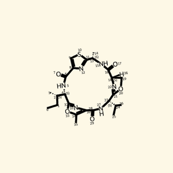 CC[C@H](C)[C@@H]1NC(=O)c2csc(n2)[C@H](C)NC(=O)[C@@H]2COC(=N2)[C@H](C(C)C)NC(=O)c2nc1oc2C